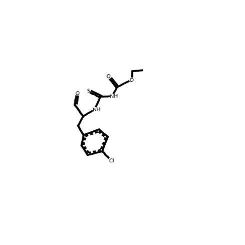 CCOC(=O)NC(=S)NC(C=O)Cc1ccc(Cl)cc1